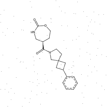 O=C1NC[C@H](C(=O)N2CCC3(CC(c4ccccc4)C3)C2)CCO1